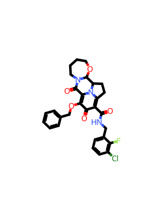 O=C(NCc1cccc(Cl)c1F)c1c2n3c(c(OCc4ccccc4)c1=O)C(=O)N1CCCCOC1C3CC2